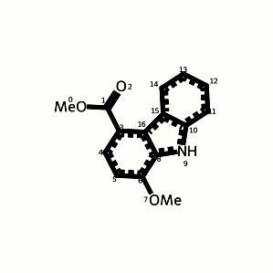 COC(=O)c1ccc(OC)c2[nH]c3ccccc3c12